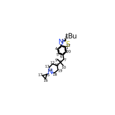 CC(C)(C)c1nc2ccc(CC(C)(C)C3CCN(C4CC4)CC3)cc2s1